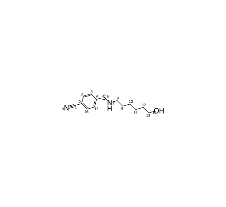 N#Cc1ccc(SNCCCCCCO)cc1